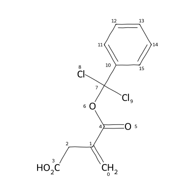 C=C(CC(=O)O)C(=O)OC(Cl)(Cl)c1ccccc1